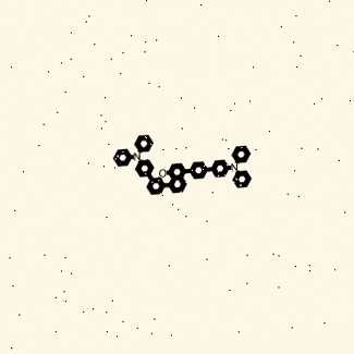 c1ccc(N(c2ccccc2)c2ccc(-c3ccc(-c4ccc5c6c(cccc46)-c4cccc(-c6ccc(N(c7ccccc7)c7ccccc7)cc6)c4O5)cc3)cc2)cc1